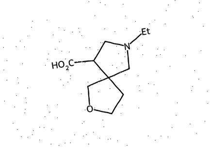 CCN1CC(C(=O)O)C2(CCOC2)C1